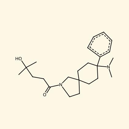 CN(C)C1(c2ccccc2)CCC2(CCN(C(=O)CCC(C)(C)O)C2)CC1